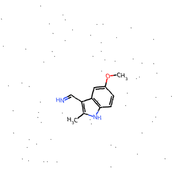 COc1ccc2[nH]c(C)c(C=N)c2c1